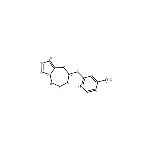 O=Cc1ccnc(CN2CCCn3ccnc3C2)c1